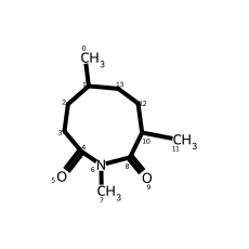 CC1CCC(=O)N(C)C(=O)C(C)CC1